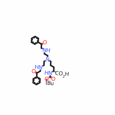 CC(C)(C)OC(=O)N[C@@H](CCCN(CCNCC(=O)c1ccccc1)CCNCC(=O)c1ccccc1)C(=O)O